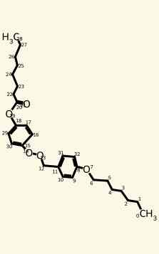 CCCCCCCOc1ccc(COOc2ccc(OC(=O)CCCCCCC)cc2)cc1